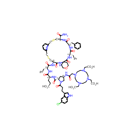 CC(C)C[C@@H]1NC(=O)C2(CCOCC2)NC(=O)[C@@H](NC(=O)[C@@H](CC(C)C)NC(=O)[C@H](CCC(=O)O)NC(=O)[C@@H]2C[C@@H](NC(=O)CN3CCN(CC(=O)O)CCN(CC(=O)O)CCN(CC(=O)O)CC3)CN2C(=O)CCc2c[nH]c3ccc(Cl)cc23)CSCc2cccc(n2)CSC[C@@H](C(N)=O)NC(=O)[C@H](Cc2ccccc2)NC1=O